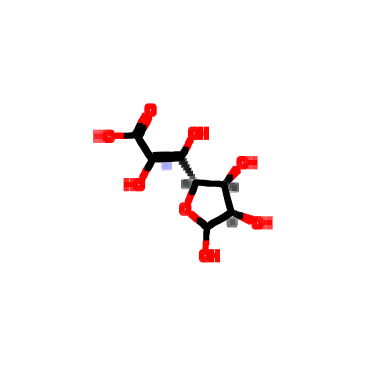 O=C(O)/C(O)=C(\O)[C@H]1OC(O)[C@H](O)[C@@H]1O